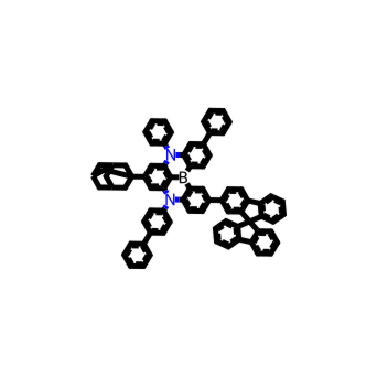 c1ccc(-c2ccc(N3c4ccc(-c5ccc6c(c5)C5(c7ccccc7-c7ccccc75)c5ccccc5-6)cc4B4c5ccc(-c6ccccc6)cc5N(c5ccccc5)c5cc(C67CC8CC(CC(C8)C6)C7)cc3c54)cc2)cc1